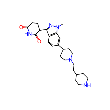 Cn1nc(C2CCC(=O)NC2=O)c2ccc(C3CCN(CCC4CCNCC4)CC3)cc21